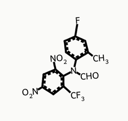 Cc1cc(F)ccc1N(C=O)c1c([N+](=O)[O-])cc([N+](=O)[O-])cc1C(F)(F)F